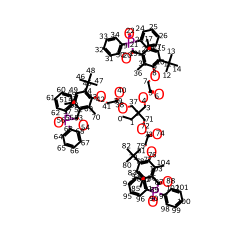 CCC(COC(=O)COc1c(C(C)(C)C)cc(C)c(C(=O)P(=O)(c2ccccc2)c2ccccc2)c1C)(COC(=O)COc1c(C(C)(C)C)cc(C)c(C(=O)P(=O)(c2ccccc2)c2ccccc2)c1C)COC(=O)COc1c(C(C)(C)C)cc(C)c(C(=O)P(=O)(c2ccccc2)c2ccccc2)c1C